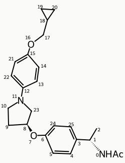 CC(=O)N[C@@H](C)c1ccc(O[C@H]2CCN(c3ccc(OCC4CC4)cc3)C2)cc1